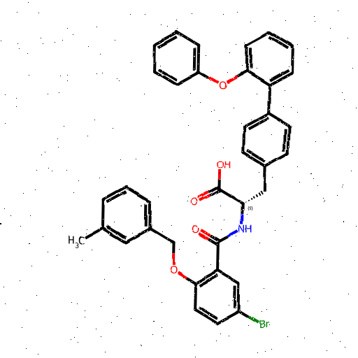 Cc1cccc(COc2ccc(Br)cc2C(=O)N[C@@H](Cc2ccc(-c3ccccc3Oc3ccccc3)cc2)C(=O)O)c1